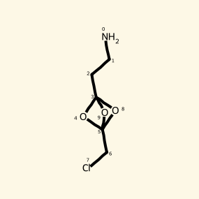 NCCC12OC(CCl)(O1)O2